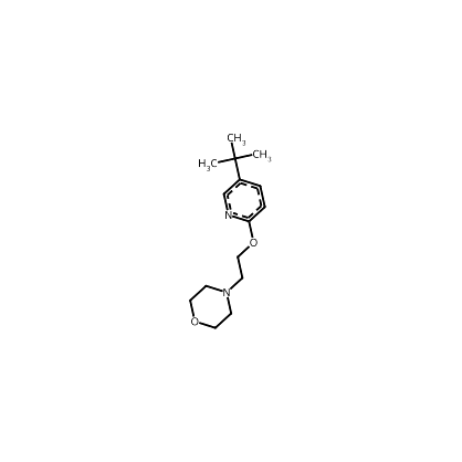 CC(C)(C)c1ccc(OCCN2CCOCC2)nc1